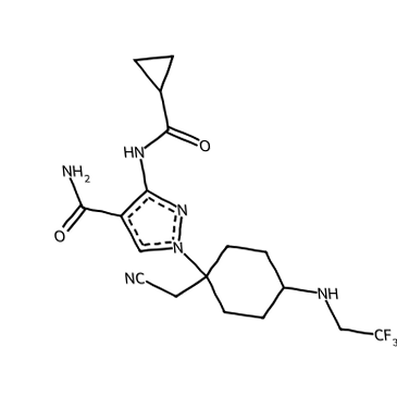 N#CCC1(n2cc(C(N)=O)c(NC(=O)C3CC3)n2)CCC(NCC(F)(F)F)CC1